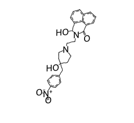 O=C1c2cccc3cccc(c23)C(O)N1CCN1CCC(O)(Cc2ccc([N+](=O)[O-])cc2)CC1